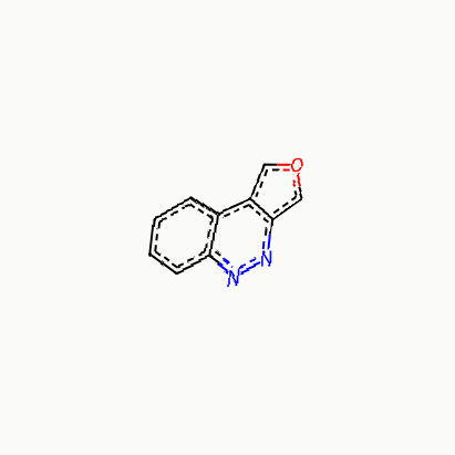 c1ccc2c(c1)nnc1cocc12